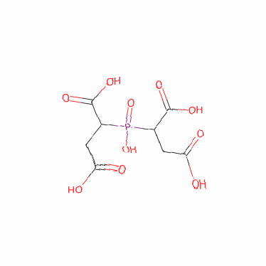 O=C(O)CC(C(=O)O)P(=O)(O)C(CC(=O)O)C(=O)O